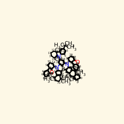 CC(C)(C)c1ccc2c(c1)C1(C)CCCCC1(C)N2c1cc2c3c(c1)N(c1cccc4oc5ccccc5c14)c1cc4c(cc1B3c1cc3c(cc1N2c1cccc2c1oc1ccccc12)C(C)(C)CCC3(C)C)C(C)(C)c1ccccc1C4(C)C